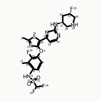 Cc1nc(Oc2ccc(NS(=O)(=O)C(F)F)c(C)c2F)c(-c2ccnc(N[C@@H]3CNC[C@@H](F)C3)n2)s1